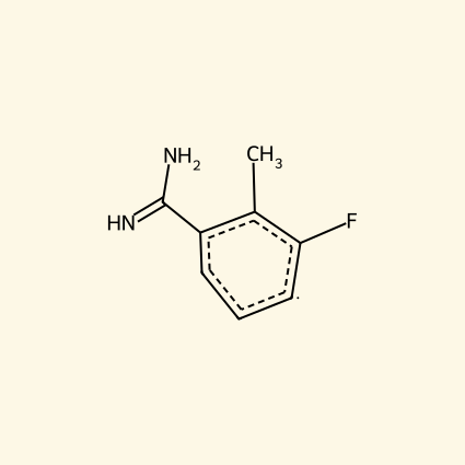 Cc1c(F)[c]ccc1C(=N)N